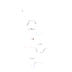 CSc1cc(-c2c(C)noc2C)c(O)c(C(=O)Nc2ccc(S(=O)(=O)C(C)(F)F)cc2C)c1C